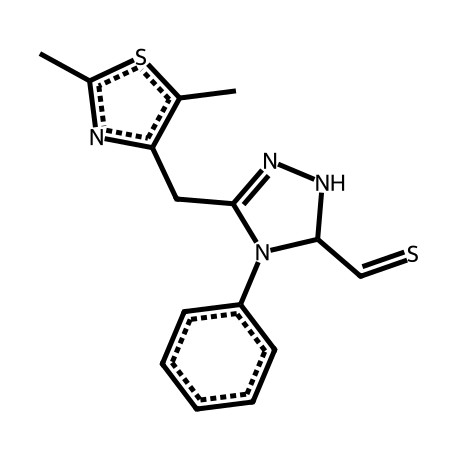 Cc1nc(CC2=NNC(C=S)N2c2ccccc2)c(C)s1